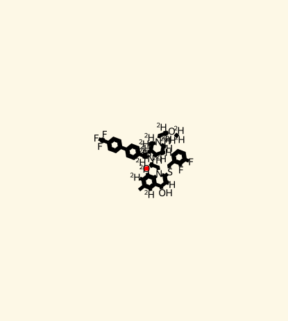 [2H]C1=C(SCc2cccc(F)c2F)N(CC(=O)N(C([2H])([2H])c2ccc(-c3ccc(C(F)(F)F)cc3)cc2)C2([2H])C([2H])([2H])C([2H])([2H])N(CC([2H])([2H])OC([2H])([2H])[2H])C([2H])([2H])C2([2H])[2H])c2c([2H])c([2H])c(C)c([2H])c2C1O